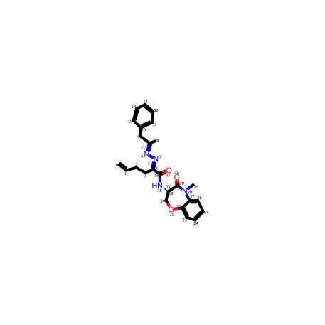 C=CCC/C(=N\N=C(/C)Cc1ccccc1)C(=O)N[C@H]1COc2ccccc2N(C)C1=O